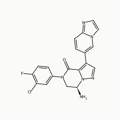 N[C@H]1CN(c2ccc(F)c(Cl)c2)C(=O)c2c(-c3ccc4nccn4c3)cnn21